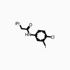 CC(C)CC(=O)Nc1ccc(Cl)c(I)c1